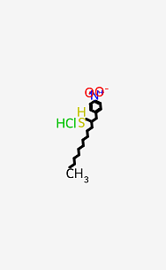 CCCCCCCCCCCC(CS)Cc1ccc([N+](=O)[O-])cc1.Cl